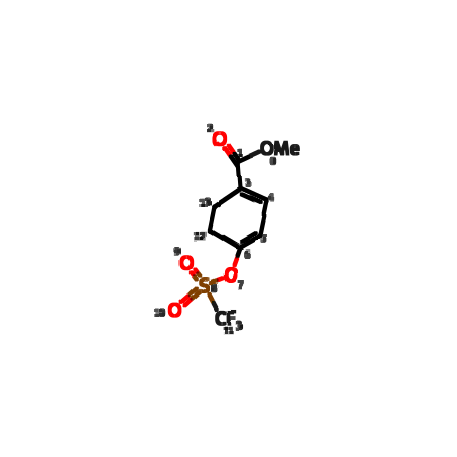 COC(=O)C1=CC=C(OS(=O)(=O)C(F)(F)F)CC1